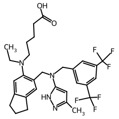 CCN(CCCCC(=O)O)c1cc2c(cc1CN(Cc1cc(C(F)(F)F)cc(C(F)(F)F)c1)c1cc(C)n[nH]1)CCC2